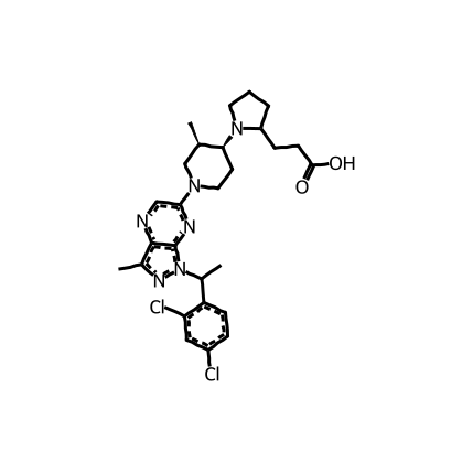 Cc1nn(C(C)c2ccc(Cl)cc2Cl)c2nc(N3CC[C@H](N4CCCC4CCC(=O)O)[C@H](C)C3)cnc12